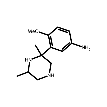 COc1ccc(N)cc1C1(C)CNCC(C)N1